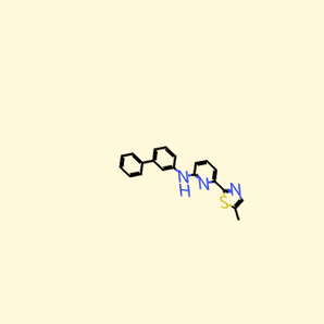 Cc1cnc(-c2cccc(Nc3cccc(-c4ccccc4)c3)n2)s1